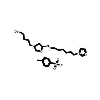 CCCCCCCCCCCCCC[C@@H]1CO[C@H](COCCCCCC[n+]2ccsc2)C1.Cc1ccc(S(=O)(=O)[O-])cc1